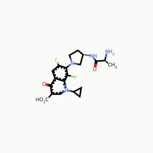 C[C@H](N)C(=O)N[C@@H]1CCN(c2c(F)cc3c(=O)c(C(=O)O)cn(C4CC4)c3c2F)C1